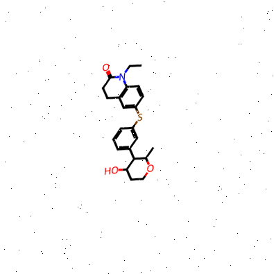 CCN1C(=O)CCc2cc(Sc3cccc(C4C(O)CCOC4C)c3)ccc21